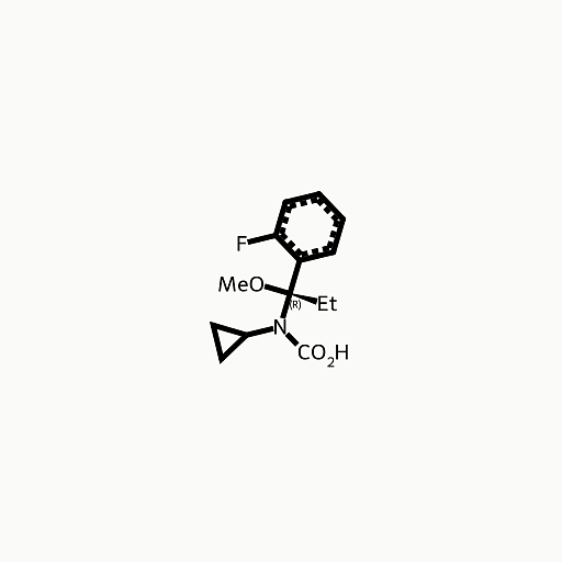 CC[C@@](OC)(c1ccccc1F)N(C(=O)O)C1CC1